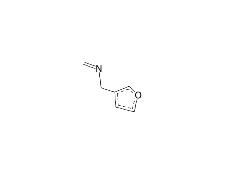 C=NCc1ccoc1